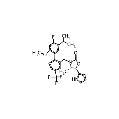 COc1cc(F)c(C(C)C)cc1-c1ccc(C(F)(F)F)cc1CN1C(=O)O[C@@H](c2ncc[nH]2)[C@@H]1C